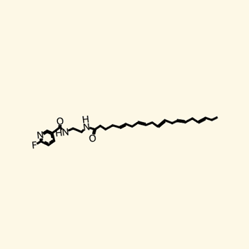 CCC=CCC=CCC=CCC=CCC=CCCCC(=O)NCCNC(=O)c1ccc(F)nc1